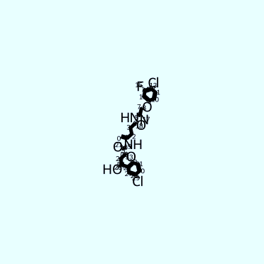 C=C(CCC1NC(COc2ccc(Cl)c(F)c2)=NO1)NC(=O)[C@H]1C[C@@H](O)c2cc(Cl)ccc2O1